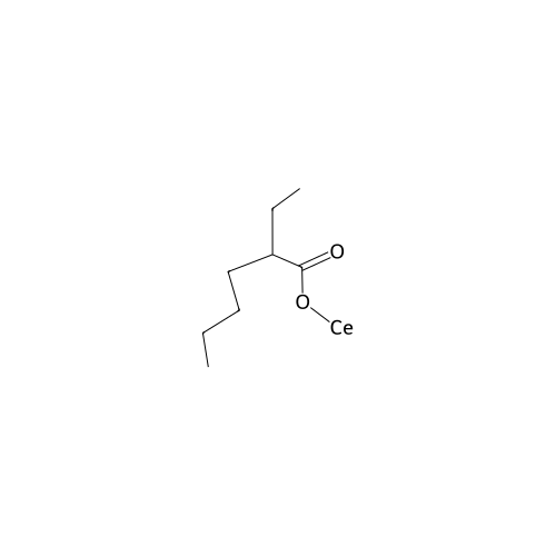 CCCCC(CC)C(=O)[O][Ce]